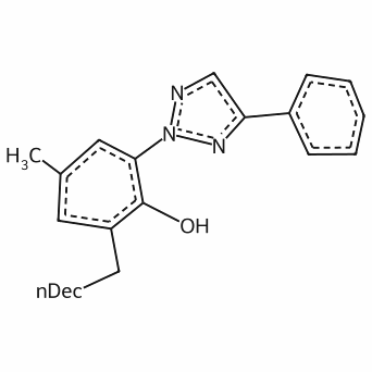 CCCCCCCCCCCc1cc(C)cc(-n2ncc(-c3ccccc3)n2)c1O